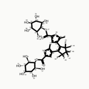 Cc1sc(C(=O)O[C@@H]2[C@H](O)[C@@H](O)[C@H](O)[C@@H](O)[C@@H]2O)cc1C1=C(c2cc(C(=O)O[C@@H]3[C@H](O)[C@@H](O)[C@H](O)[C@@H](O)[C@@H]3O)sc2C)C(F)(F)C(F)(F)C1(F)F